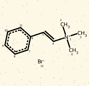 C[N+](C)(C)C=Cc1ccccc1.[Br-]